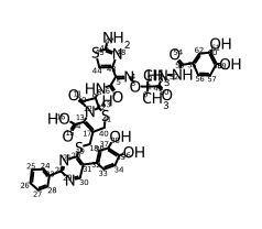 CC(C)(O/N=C(\C(=O)N[C@@H]1C(=O)N2C(C(=O)O)=C(CSc3nc(-c4ccccc4)ncc3-c3ccc(O)c(O)c3)CS[C@H]12)c1csc(N)n1)C(=O)NNC(=O)c1ccc(O)c(O)c1